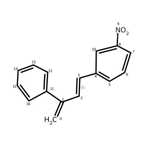 C=C(/C=C/c1cccc([N+](=O)[O-])c1)c1ccccc1